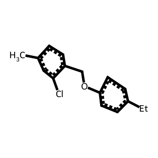 CCc1ccc(OCc2ccc(C)cc2Cl)cc1